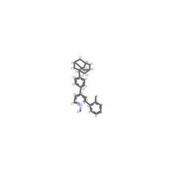 Cc1ccccc1-c1cc(-c2ccc(C34CC5CC(CC(C5)C3)C4)cc2)cc[n+]1C